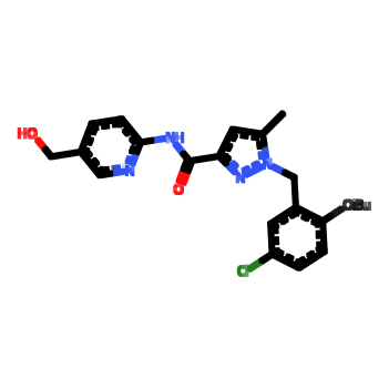 Cc1cc(C(=O)Nc2ccc(CO)cn2)nn1Cc1cc(Cl)ccc1OCC(C)C